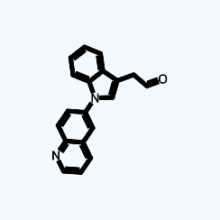 O=CCc1cn(-c2ccc3ncccc3c2)c2ccccc12